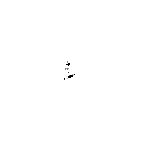 F.F.O=P